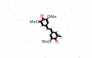 COC1=C/C(=C\C=C2C=C(OC)C(=O)C(OC)=C2)C=C(C)C1=O